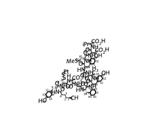 C#CCCCC(=O)N[C@H](Cc1ccc(O)cc1)C(=O)N[C@H](CSSCC)C(=O)N[C@H](C(=O)O)C(=O)NCC(=O)N[C@@H](Cc1ccccc1)C(=O)N[C@H](Cc1ccc(O)cc1)C(=O)N[C@H](C)C(=O)NC(=O)N[C@H](Cc1ccc(O)cc1)C(=O)N[C@H](CCSC)C(=O)N[C@H](CC(=O)O)C(=O)N[C@@H](C(=O)O)C(C)C